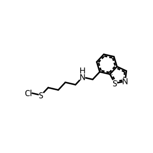 ClSCCCCNCc1cccc2cnsc12